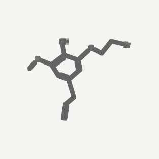 C=CCc1cc(OC)c(O)c(OCCBr)c1